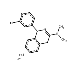 CN(C)C1=NC(c2ccnc(Cl)c2)c2ccccc2C1.Cl.Cl